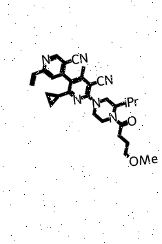 C=Cc1cc(-c2c(C3CC3)nc(N3CCN(C(=O)CCCOC)C(C(C)C)C3)c(C#N)c2C)c(C#N)cn1